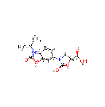 CC(C)n1c(=O)oc2cc(N3C[C@H](C(=O)O)OC3=O)ccc21